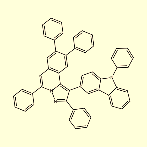 c1ccc(-c2cc3cc(-c4ccccc4)n4nc(-c5ccccc5)c(-c5ccc6c(c5)c5ccccc5n6-c5ccccc5)c4c3cc2-c2ccccc2)cc1